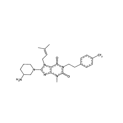 CC(C)=CCn1c(N2CCCC(N)C2)nc2c1c(=O)n(CCc1ccc(C(F)(F)F)cc1)c(=O)n2C